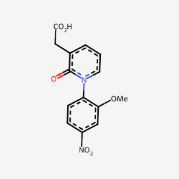 COc1cc([N+](=O)[O-])ccc1-n1cccc(CC(=O)O)c1=O